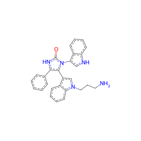 NCCCn1cc(-c2c(-c3ccccc3)[nH]c(=O)n2-c2c[nH]c3ccccc23)c2ccccc21